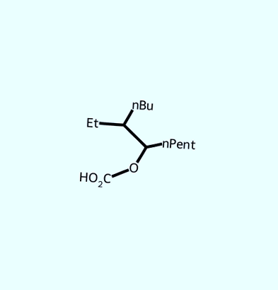 CCCCCC(OC(=O)O)C(CC)CCCC